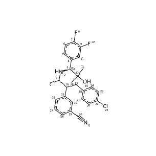 CC(N[C@@H](c1ccc(F)c(F)c1)C(C)(C)O)C(Cc1ccc(Cl)cc1)c1cccc(C#N)c1